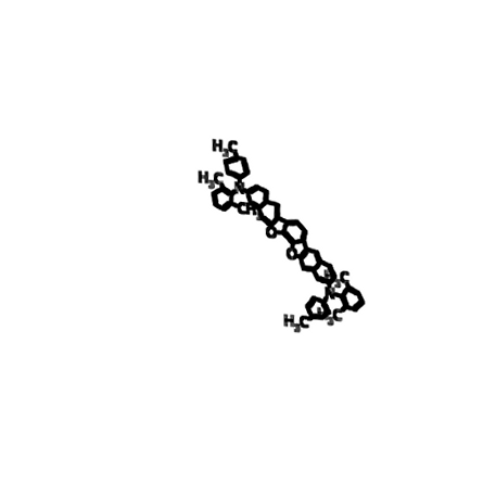 Cc1ccc(N(c2ccc3cc4c(cc3c2)oc2c4ccc3c4cc5ccc(N(c6ccc(C)cc6)c6c(C)cccc6C)cc5cc4oc32)c2c(C)cccc2C)cc1